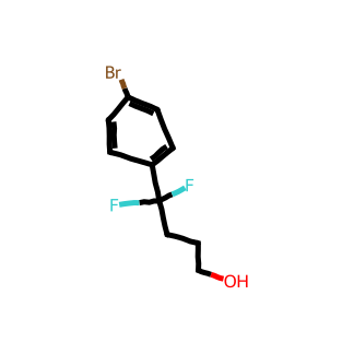 OCCCC(F)(F)c1ccc(Br)cc1